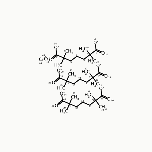 CC(C)(CCCC(C)(C)C(=O)[O-])C(=O)[O-].CC(C)(CCCC(C)(C)C(=O)[O-])C(=O)[O-].CC(C)(CCCC(C)(C)C(=O)[O-])C(=O)[O-].[Cr+3].[Cr+3]